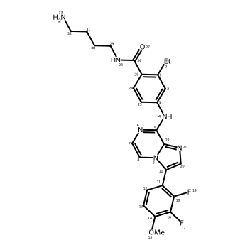 CCc1cc(Nc2nccn3c(-c4ccc(OC)c(F)c4F)cnc23)ccc1C(=O)NCCCCN